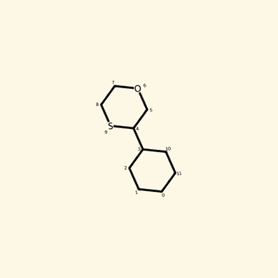 C1CCC(C2COCCS2)CC1